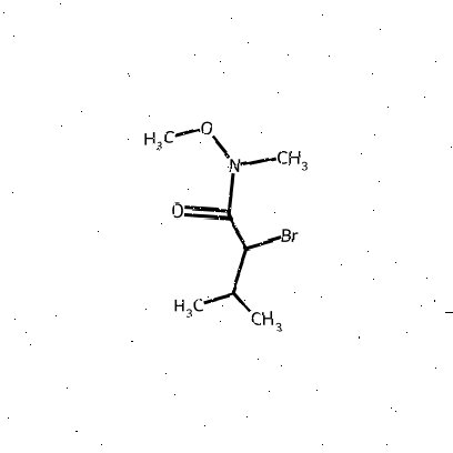 CON(C)C(=O)C(Br)C(C)C